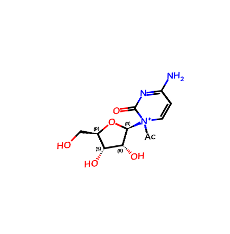 CC(=O)[N+]1([C@@H]2O[C@H](CO)[C@@H](O)[C@H]2O)C=CC(N)=NC1=O